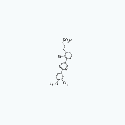 CCc1c(CCCC(=O)O)cccc1-c1cnc(-c2ccc(OC(C)C)c(C(F)(F)F)c2)nc1